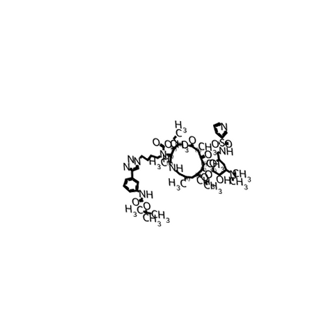 CC[C@H]1OC(=O)[C@H](C)C(=O)[C@H](C)[C@@H](O[C@@H]2OC(CNS(=O)(=O)c3cccnc3)CC(N(C)C)C2O)[C@](C)(OC)C[C@@H](C)CN[C@H](C)[C@H]2N(CCCCn3cc(-c4cccc(NC(=O)OC(C)(C)C)c4)nn3)C(=O)O[C@]12C